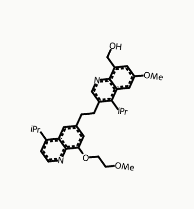 COCCOc1cc(CCc2cnc3c(CO)cc(OC)cc3c2C(C)C)cc2c(C(C)C)ccnc12